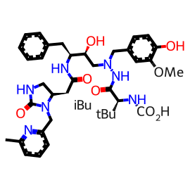 CC[C@H](C)[C@H](C(=O)N[C@@H](Cc1ccccc1)[C@@H](O)CN(Cc1ccc(O)c(OC)c1)NC(=O)[C@@H](NC(=O)O)C(C)(C)C)C1CNC(=O)N1Cc1cccc(C)n1